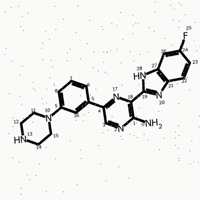 Nc1ncc(-c2cccc(N3CCNCC3)c2)nc1-c1nc2ccc(F)cc2[nH]1